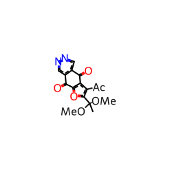 COC(C)(OC)c1oc2c(c1C(C)=O)C(=O)c1cnncc1C2=O